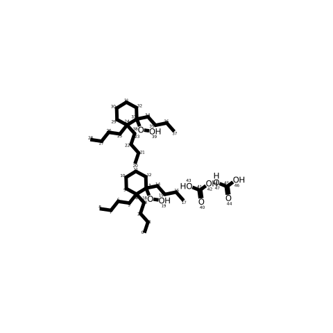 CCCCC1(CCCC)CCCCC1(CCCC)OO.CCCCC1(CCCC)CCCCC1(CCCC)OO.O=C(O)O.O=C(O)O